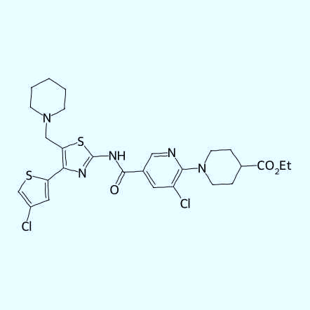 CCOC(=O)C1CCN(c2ncc(C(=O)Nc3nc(-c4cc(Cl)cs4)c(CN4CCCCC4)s3)cc2Cl)CC1